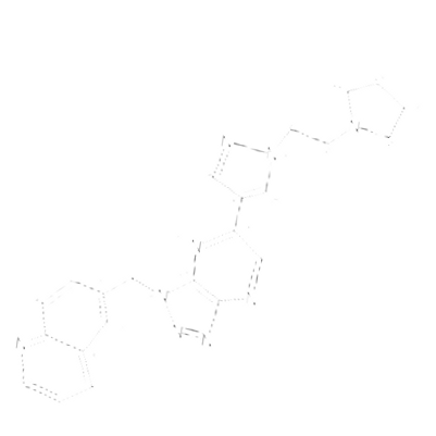 c1cnc2ccc(Cn3nnc4ncc(-c5cnn(CCN6CCCC6)c5)nc43)cc2c1